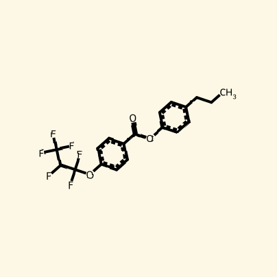 CCCc1ccc(OC(=O)c2ccc(OC(F)(F)C(F)C(F)(F)F)cc2)cc1